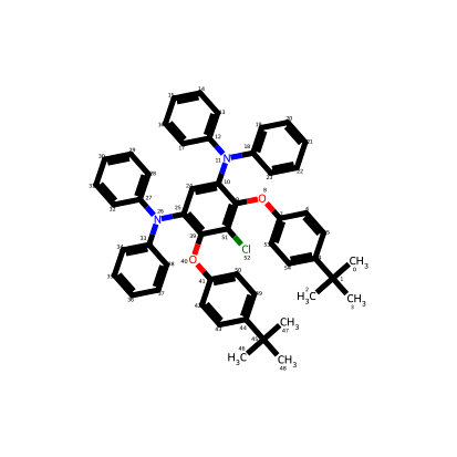 CC(C)(C)c1ccc(Oc2c(N(c3ccccc3)c3ccccc3)cc(N(c3ccccc3)c3ccccc3)c(Oc3ccc(C(C)(C)C)cc3)c2Cl)cc1